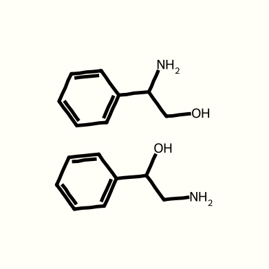 NC(CO)c1ccccc1.NCC(O)c1ccccc1